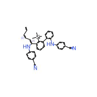 C=C/C=C\C=C(/Nc1ccc(C#N)cc1)c1cccc(-c2ccccc2Nc2ccc(C#N)cc2)c1[Si](C)(C)C